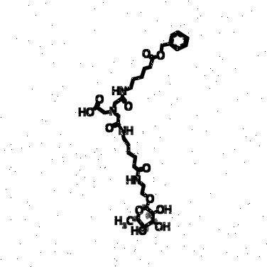 C[C@@H]1O[C@@H](OCCNC(=O)CCCCCNC(=O)CN(CC(=O)O)CC(=O)NCCCCCC(=O)OCc2ccccc2)[C@@H](O)[C@H](O)[C@@H]1O